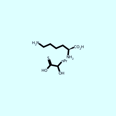 CCCC(O)C(O)=S.NCCCC[C@H](N)C(=O)O